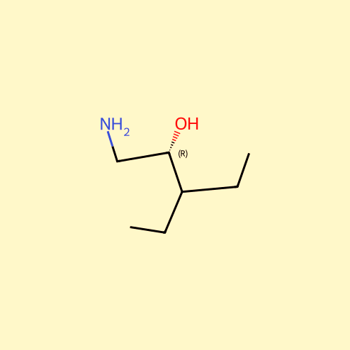 CCC(CC)[C@@H](O)CN